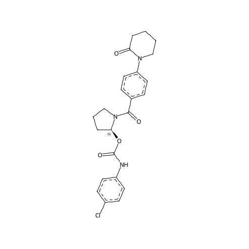 O=C(Nc1ccc(Cl)cc1)O[C@H]1CCCN1C(=O)c1ccc(N2CCCCC2=O)cc1